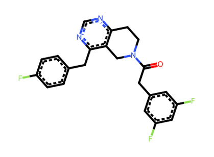 O=C(Cc1cc(F)cc(F)c1)N1CCc2ncnc(Cc3ccc(F)cc3)c2C1